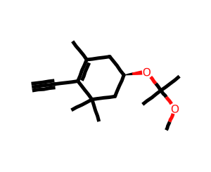 C#CC1=C(C)C[C@@H](OC(C)(C)OC)CC1(C)C